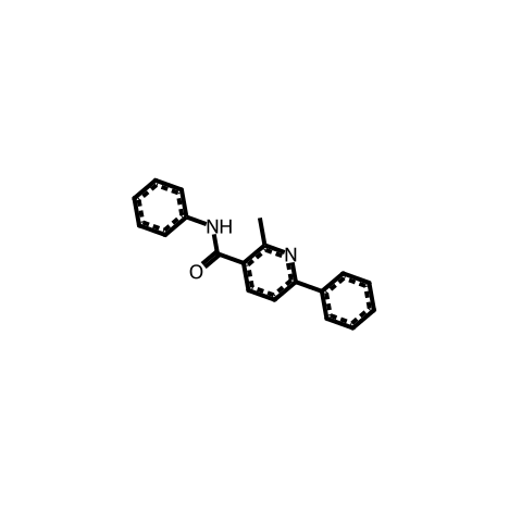 Cc1nc(-c2ccccc2)ccc1C(=O)Nc1ccccc1